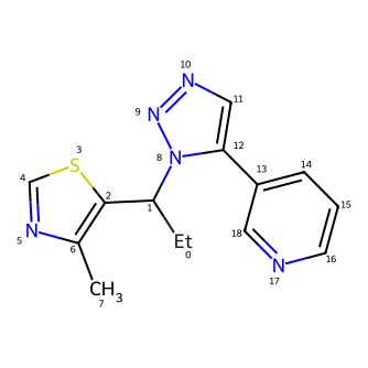 CCC(c1scnc1C)n1nncc1-c1cccnc1